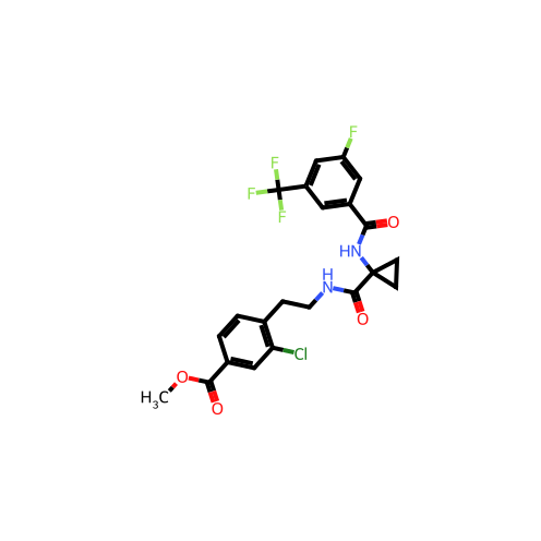 COC(=O)c1ccc(CCNC(=O)C2(NC(=O)c3cc(F)cc(C(F)(F)F)c3)CC2)c(Cl)c1